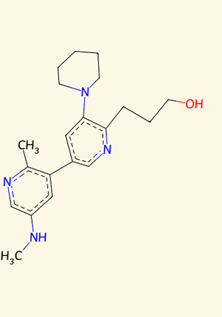 CNc1cnc(C)c(-c2cnc(CCCO)c(N3CCCCC3)c2)c1